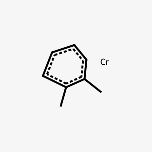 Cc1ccccc1C.[Cr]